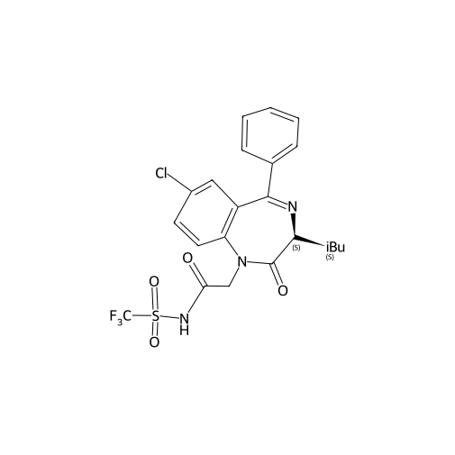 CC[C@H](C)[C@@H]1N=C(c2ccccc2)c2cc(Cl)ccc2N(CC(=O)NS(=O)(=O)C(F)(F)F)C1=O